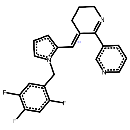 Fc1cc(F)c(Cn2cccc2/C=C2\CCCN=C2c2cccnc2)cc1F